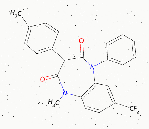 Cc1ccc(C2C(=O)N(C)c3ccc(C(F)(F)F)cc3N(c3ccccc3)C2=O)cc1